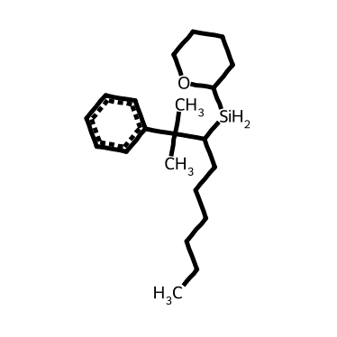 CCCCCCC([SiH2]C1CCCCO1)C(C)(C)c1ccccc1